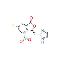 O=C1OC(=Cc2ncc[nH]2)c2c1cc(F)cc2[N+](=O)[O-]